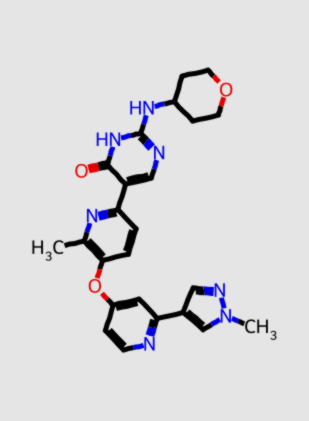 Cc1nc(-c2cnc(NC3CCOCC3)[nH]c2=O)ccc1Oc1ccnc(-c2cnn(C)c2)c1